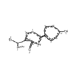 CCC(NC(C)=O)c1nnc(-c2ccc(C#N)cc2)[nH]c1=O